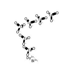 [Bi+3].[Dy+3].[O]=[Ta](=[O])[O-].[O]=[Ta](=[O])[O-].[O]=[Ta](=[O])[O-].[O]=[Ta](=[O])[O-].[O]=[Ta](=[O])[O-].[O]=[Ta](=[O])[O-]